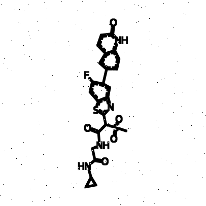 CS(=O)(=O)C(C(=O)NCC(=O)NC1CC1)c1nc2cc(-c3ccc4[nH]c(=O)ccc4c3)c(F)cc2s1